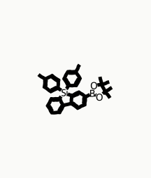 Cc1ccc([Si]2(c3ccc(C)cc3)c3ccccc3-c3ccc(B4OC(C)(C)C(C)(C)O4)cc32)cc1